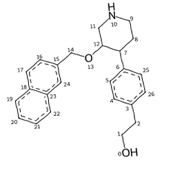 OCCc1ccc(C2CCNCC2OCc2ccc3ccccc3c2)cc1